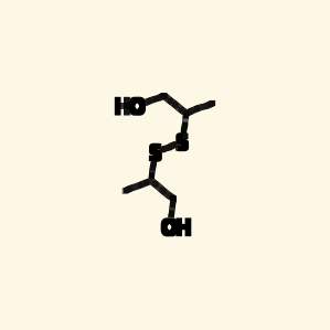 CC(CO)SSC(C)CO